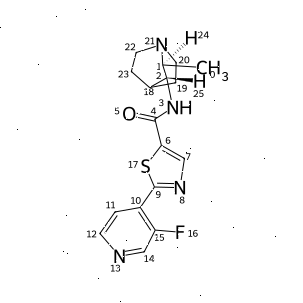 C[C@H]1[C@H](NC(=O)c2cnc(-c3ccncc3F)s2)C2CCN1CC2